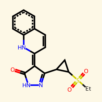 CCS(=O)(=O)C1CC1C1=NNC(=O)/C1=C1/C=Cc2ccccc2N1